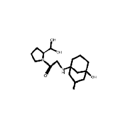 CC1CC2(O)CCCC(NCC(=O)N3CCC[C@H]3C(O)O)(C1)C2